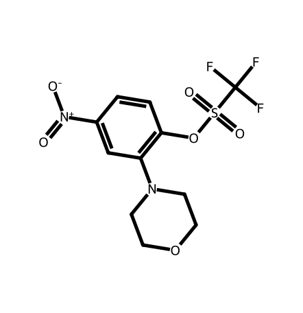 O=[N+]([O-])c1ccc(OS(=O)(=O)C(F)(F)F)c(N2CCOCC2)c1